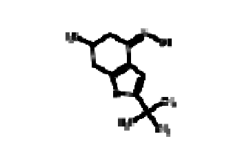 CC1C/C(=N/O)c2cc(C(C)(C)C)oc2C1